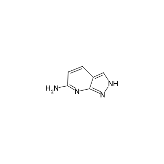 Nc1ccc2c[nH]nc2n1